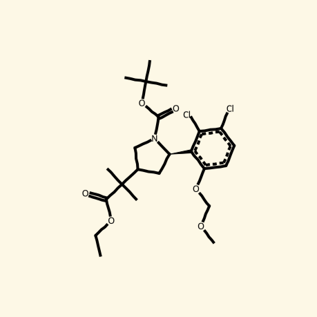 CCOC(=O)C(C)(C)C1C[C@H](c2c(OCOC)ccc(Cl)c2Cl)N(C(=O)OC(C)(C)C)C1